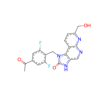 CC(=O)c1cc(F)c(Cn2c(=O)[nH]c3cnc4nc(CO)ccc4c32)c(F)c1